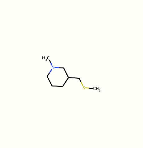 CSCC1CCCN(C)C1